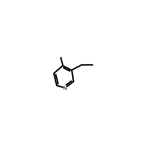 CCc1cnccc1C